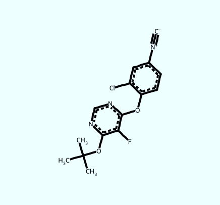 [C-]#[N+]c1ccc(Oc2ncnc(OC(C)(C)C)c2F)c(Cl)c1